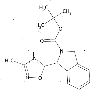 CC1=NOC(C2c3ccccc3CN2C(=O)OC(C)(C)C)N1